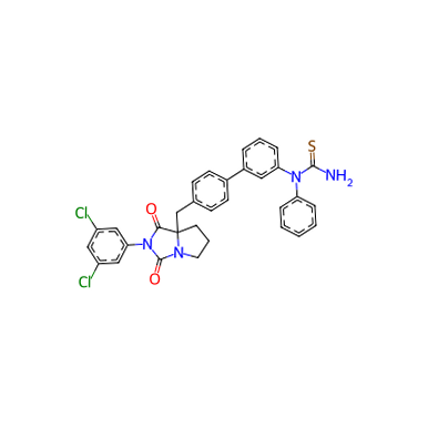 NC(=S)N(c1ccccc1)c1cccc(-c2ccc(CC34CCCN3C(=O)N(c3cc(Cl)cc(Cl)c3)C4=O)cc2)c1